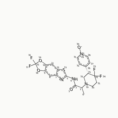 CC(C(=O)Nc1nc2cc3c(cc2s1)OC(F)(F)O3)N1CCC(F)(F)[C@@H](c2cc[n+]([O-])cc2)C1